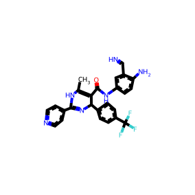 CC1=C(C(=O)Nc2ccc(N)c(C=N)c2)C(c2ccc(C(F)(F)F)cc2)N=C(c2ccncc2)N1